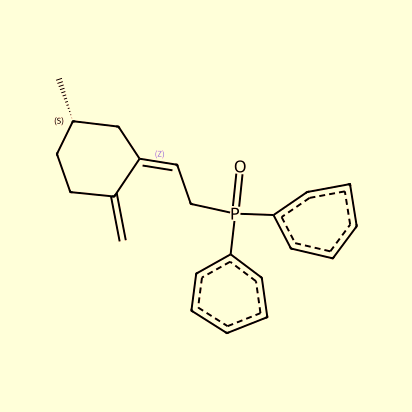 C=C1CC[C@H](C)C/C1=C/CP(=O)(c1ccccc1)c1ccccc1